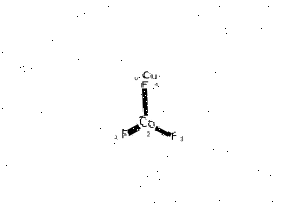 [Cu].[F][Co]([F])[F]